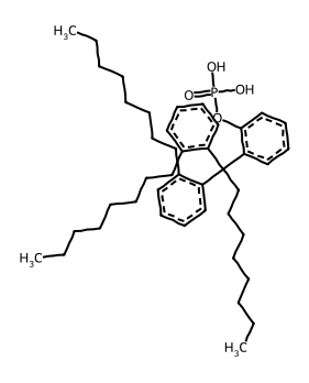 CCCCCCCCc1ccccc1C(CCCCCCCC)(c1ccccc1CCCCCCCC)c1ccccc1OP(=O)(O)O